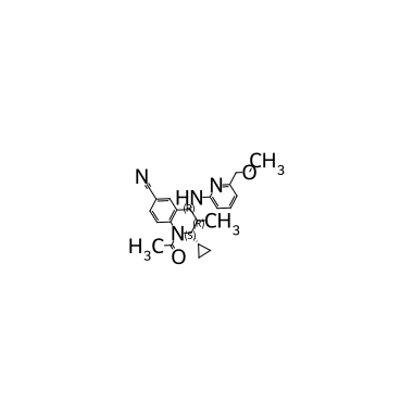 COCc1cccc(N[C@H]2c3cc(C#N)ccc3N(C(C)=O)[C@@H](C3CC3)[C@@H]2C)n1